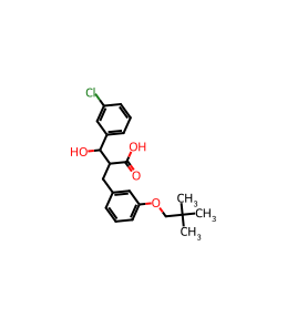 CC(C)(C)COc1cccc(CC(C(=O)O)C(O)c2cccc(Cl)c2)c1